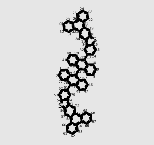 c1ccc2c(-c3c4ccccc4c(-c4ccc5sc6cc7c8ccccc8c8ccccc8c7cc6c5c4)c4ccccc34)c3ccccc3c(-c3ccc4sc5cc6c7ccccc7c7ccccc7c6cc5c4c3)c2c1